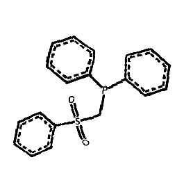 O=S(=O)(CP(c1ccccc1)c1ccccc1)c1ccccc1